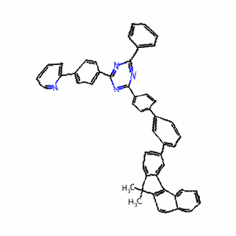 CC1(C)c2ccc(-c3cccc(-c4ccc(-c5nc(-c6ccccc6)nc(-c6ccc(-c7ccccn7)cc6)n5)cc4)c3)cc2-c2c1ccc1ccccc21